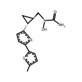 Cc1ccc(-c2ccc([C@@H]3C[C@H]3CN(O)C(N)=O)s2)s1